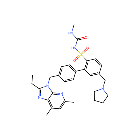 CCc1nc2c(C)cc(C)nc2n1Cc1ccc(-c2cc(CN3CCCC3)ccc2S(=O)(=O)NC(=O)NC)cc1